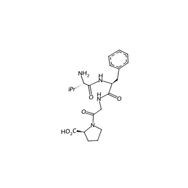 CC(C)[C@H](N)C(=O)N[C@@H](Cc1ccccc1)C(=O)NCC(=O)N1CCC[C@H]1C(=O)O